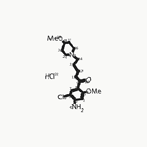 COc1cc(N)c(Cl)cc1C(=O)CCCCN1CCC(OC)CC1.Cl